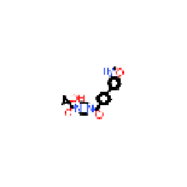 O=C(c1ccc(-c2ccc3c(c2)NCO3)cc1)N1CCN(C(=O)C2(O)CC2)CC1